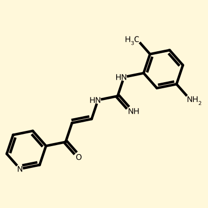 Cc1ccc(N)cc1NC(=N)NC=CC(=O)c1cccnc1